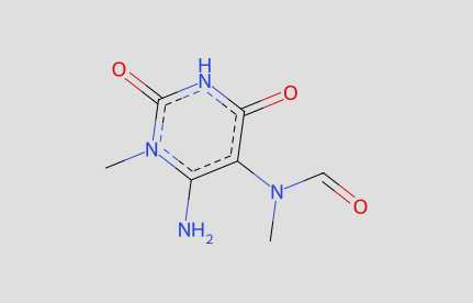 CN(C=O)c1c(N)n(C)c(=O)[nH]c1=O